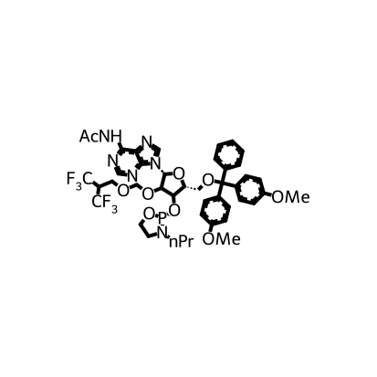 CCCN1CCO[P@@]1OC1C(OCOCC(C(F)(F)F)C(F)(F)F)[C@H](n2cnc3c(NC(C)=O)ncnc32)O[C@@H]1COC(c1ccccc1)(c1ccc(OC)cc1)c1ccc(OC)cc1